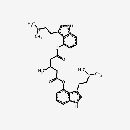 CC(CC(=O)Oc1cccc2[nH]cc(CCN(C)C)c12)CC(=O)Oc1cccc2[nH]cc(CCN(C)C)c12